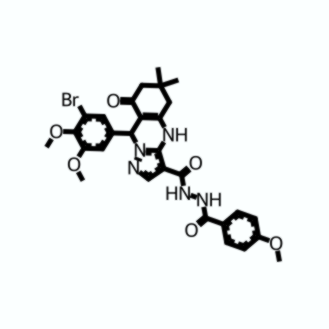 COc1ccc(C(=O)NNC(=O)c2cnn3c2NC2=C(C(=O)CC(C)(C)C2)C3c2cc(Br)c(OC)c(OC)c2)cc1